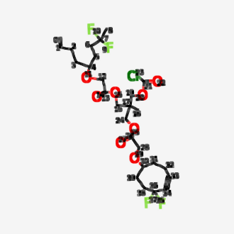 C=CCCC(CCC(C)(F)F)OCC(=O)OCC(C)(COC(=O)Cl)COC(=O)COC1CCC#CC(F)(F)CC1